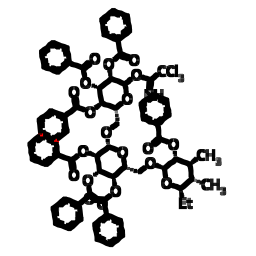 CC[C@H]1O[C@@H](OC[C@H]2O[C@@H](OC[C@H]3OC(OC(=N)C(Cl)(Cl)Cl)[C@H](OC(=O)c4ccccc4)[C@@H](OC(=O)c4ccccc4)[C@@H]3OC(=O)c3ccccc3)[C@H](OC(=O)c3ccccc3)[C@@H](OC(=O)c3ccccc3)[C@@H]2OC(=O)c2ccccc2)[C@H](OC(=O)c2ccccc2)[C@@H](C)[C@@H]1C